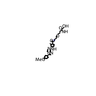 COc1ccc(-c2cnc3c(Nc4ccc(C(=O)/C=C/CCOCCCC(=N)C(=O)CO)c(C)c4)nccn23)cc1